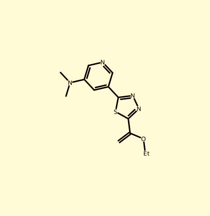 C=C(OCC)c1nnc(-c2cncc(N(C)C)c2)s1